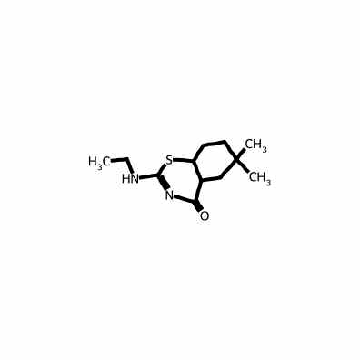 CCNC1=NC(=O)C2CC(C)(C)CCC2S1